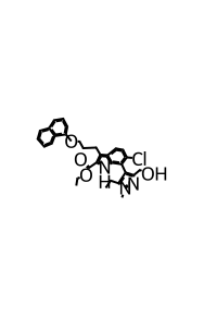 CCOC(=O)c1[nH]c2c(-c3c(CO)nn(C)c3CC)c(Cl)ccc2c1CCCOc1cccc2ccccc12